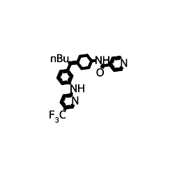 CCCCC(=C1CCC(NC(=O)c2ccncc2)CC1)c1cccc(Nc2ccc(C(F)(F)F)cn2)c1